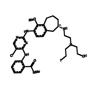 CNC(=O)c1ccccc1Nc1nc(Nc2ccc3c(c2OC)CCC[C@H](NCCN(CCO)CCI)C3)ncc1Cl